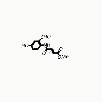 COC(=O)/C=C/C(=O)Nc1ccc(O)cc1C=O